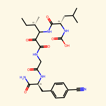 CC[C@H](C)C(NC(=O)[C@H](CC(C)C)NC(=O)O)C(=O)C(=O)NCC(=O)N[C@@H](Cc1ccc(C#N)cc1)C(N)=O